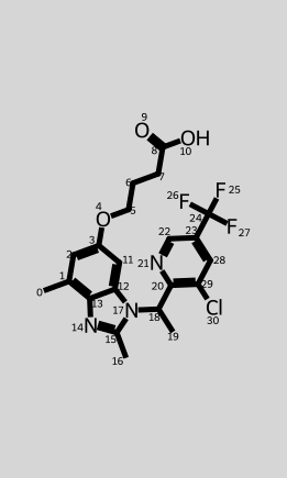 Cc1cc(OCCCC(=O)O)cc2c1nc(C)n2C(C)c1ncc(C(F)(F)F)cc1Cl